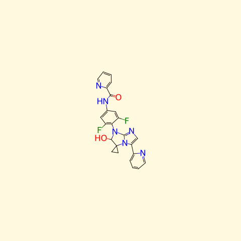 O=C(Nc1cc(F)c(N2c3ncc(-c4ccccn4)n3C3(CC3)C2O)c(F)c1)c1ccccn1